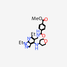 CCc1nc2c(cnn2CC)c(NC2CCOCC2)c1CNC(=O)c1ccc(C(=O)OC)cc1